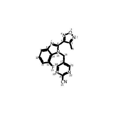 Cc1nonc1-c1nc2cccc(F)c2n1Cc1cnc(C#N)nc1